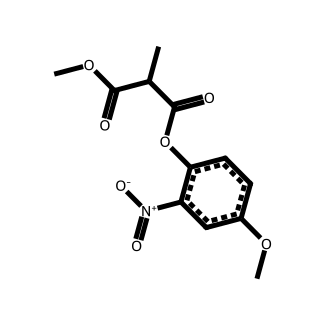 COC(=O)C(C)C(=O)Oc1ccc(OC)cc1[N+](=O)[O-]